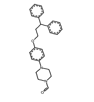 O=CN1CCN(c2ccc(OCCC(c3ccccc3)c3ccccc3)cc2)CC1